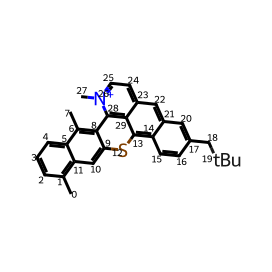 Cc1cccc2c(C)c3c(cc12)Sc1c2ccc(CC(C)(C)C)cc2cc2cc[n+](C)c-3c12